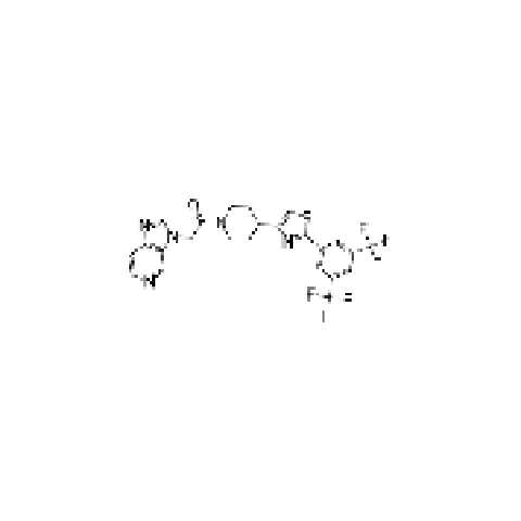 O=C(Cn1cnc2ccncc21)N1CCC(c2csc(-c3cc(C(F)(F)F)cc(C(F)(F)F)c3)n2)CC1